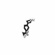 CS(=O)(=O)C1(c2ccc(C3CNC3)cc2)CC1